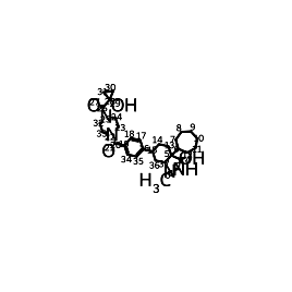 CN1NC(O)C2(C3CCCCCC3)CCC(c3ccc(C(=O)N4CCN(C(=O)C5(O)CC5)CC4)cc3)CC12